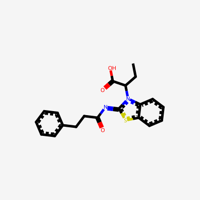 CCC(C(=O)O)n1c(=NC(=O)CCc2ccccc2)sc2ccccc21